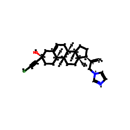 C=C(Cn1ccnc1)[C@H]1CC[C@H]2[C@@H]3CC=C4C[C@](O)(C#CCl)CC[C@@H]4[C@H]3CC[C@]12C